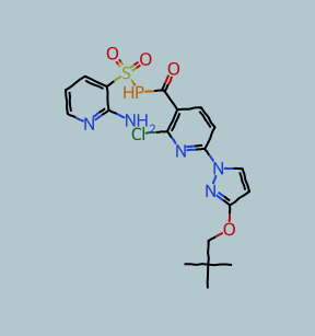 CC(C)(C)COc1ccn(-c2ccc(C(=O)PS(=O)(=O)c3cccnc3N)c(Cl)n2)n1